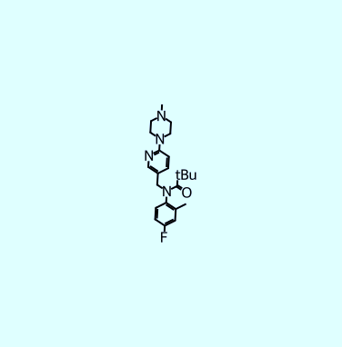 Cc1cc(F)ccc1N(Cc1ccc(N2CCN(C)CC2)nc1)C(=O)C(C)(C)C